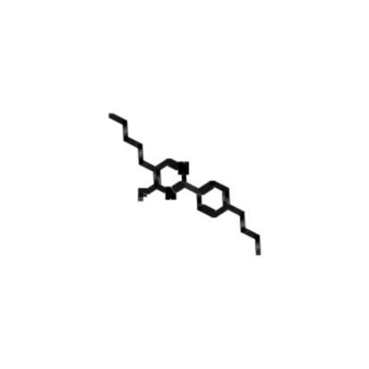 CCCCCc1cnc(-c2ccc(CCCC)cc2)nc1F